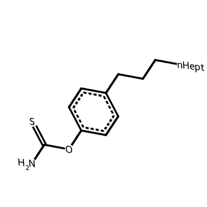 CCCCCCCCCCc1ccc(OC(N)=S)cc1